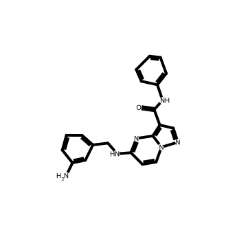 Nc1cccc(CNc2ccn3ncc(C(=O)Nc4ccccc4)c3n2)c1